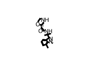 Cc1cccc2c(C(C)(C)NC3OC3[C@@H]3CNCCO3)nn(C)c12